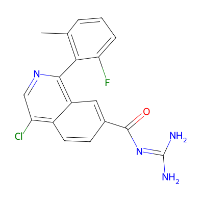 Cc1cccc(F)c1-c1ncc(Cl)c2ccc(C(=O)N=C(N)N)cc12